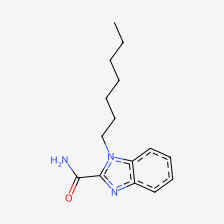 CCCCCCCn1c(C(N)=O)nc2ccccc21